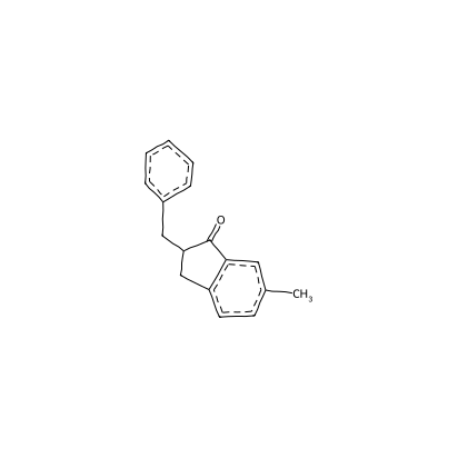 Cc1ccc2c(c1)C(=O)C(Cc1ccccc1)C2